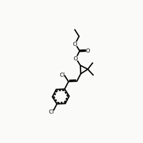 CCOC(=O)OC1C(C=C(Cl)c2ccc(Cl)cc2)C1(C)C